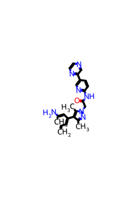 C=C/C=C(\C=C(/C)N)c1c(C)nn(CC(=O)Nc2ccc(-c3cnccn3)cn2)c1C